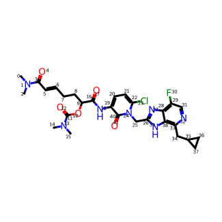 CN(C)C(=O)/C=C/CCC(OC(=O)N(C)C)C(=O)Nc1ccc(Cl)n(Cc2nc3c(F)cnc(CC4CC4)c3[nH]2)c1=O